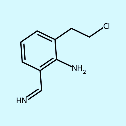 N=Cc1cccc(CCCl)c1N